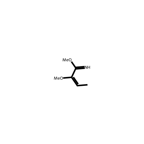 C/C=C(/OC)C(=N)OC